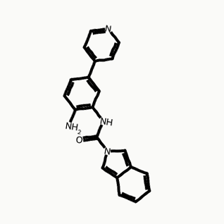 Nc1ccc(-c2ccncc2)cc1NC(=O)n1cc2ccccc2c1